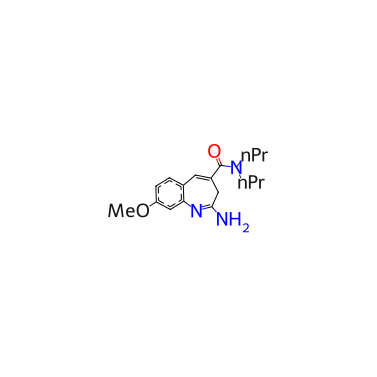 CCCN(CCC)C(=O)C1=Cc2ccc(OC)cc2N=C(N)C1